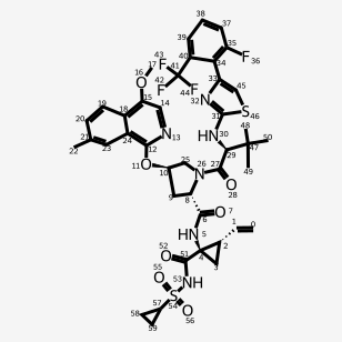 C=C[C@@H]1C[C@]1(NC(=O)[C@@H]1C[C@@H](Oc2ncc(OC)c3ccc(C)cc23)CN1C(=O)[C@@H](Nc1nc(-c2c(F)cccc2C(F)(F)F)cs1)C(C)(C)C)C(=O)NS(=O)(=O)C1CC1